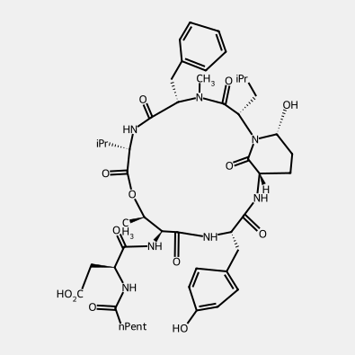 CCCCCC(=O)N[C@@H](CC(=O)O)C(=O)N[C@@H]1C(=O)N[C@@H](Cc2ccc(O)cc2)C(=O)N[C@H]2CC[C@@H](O)N(C2=O)[C@@H](CC(C)C)C(=O)N(C)[C@@H](Cc2ccccc2)C(=O)N[C@@H](C(C)C)C(=O)O[C@@H]1C